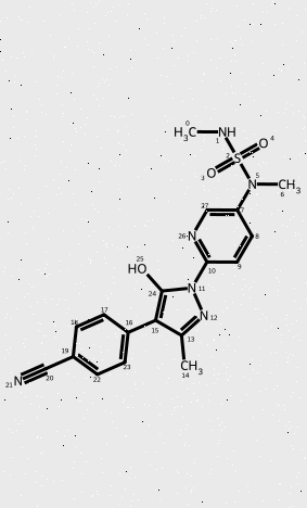 CNS(=O)(=O)N(C)c1ccc(-n2nc(C)c(-c3ccc(C#N)cc3)c2O)nc1